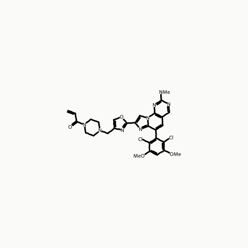 C=CC(=O)N1CCN(Cc2coc(-c3cn4c(n3)c(-c3c(Cl)c(OC)cc(OC)c3Cl)cc3cnc(NC)nc34)n2)CC1